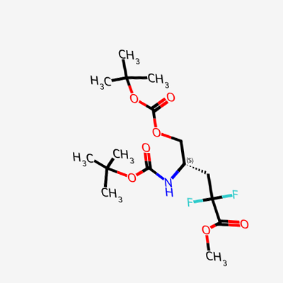 COC(=O)C(F)(F)C[C@@H](COC(=O)OC(C)(C)C)NC(=O)OC(C)(C)C